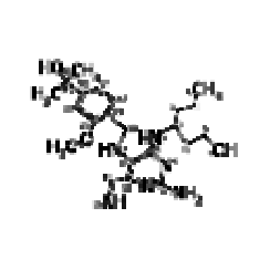 CCCC(CCO)Nc1nc(N)nc(C=N)c1NCc1ccc(C(C)(C)O)cc1OC